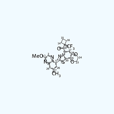 COc1cnc2c(-c3nc4c(C(=O)C5(C(F)(F)F)CCC5)cc5c(c4s3)OCCO5)cc(C)cc2n1